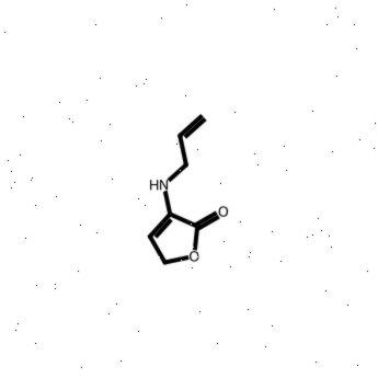 C=CCNC1=CCOC1=O